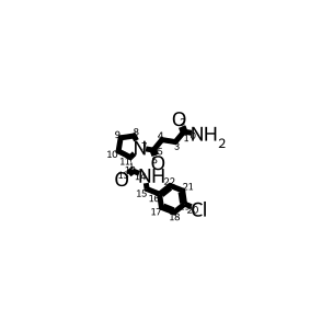 NC(=O)CCC(=O)N1CCC[C@H]1C(=O)NCc1ccc(Cl)cc1